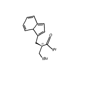 CC(C)C(=O)[C@H](CC1=CC=C2C=CC=CC21)CC(C)(C)C